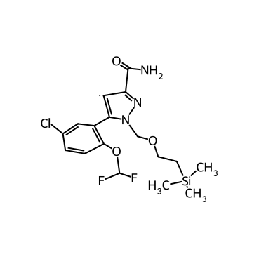 C[Si](C)(C)CCOCn1nc(C(N)=O)[c]c1-c1cc(Cl)ccc1OC(F)F